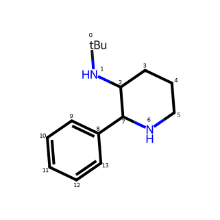 CC(C)(C)NC1CCCNC1c1ccccc1